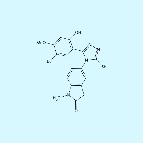 CCc1cc(-c2nnc(S)n2-c2ccc3c(c2)CC(=O)N3C)c(O)cc1OC